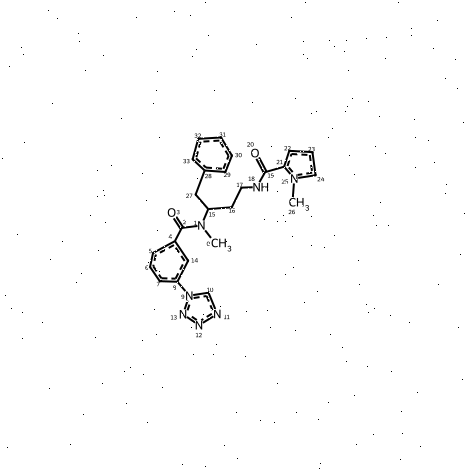 CN(C(=O)c1cccc(-n2cnnn2)c1)C(CCNC(=O)c1cccn1C)Cc1ccccc1